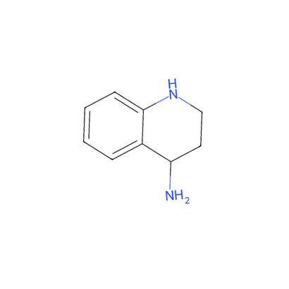 NC1CCNc2ccccc21